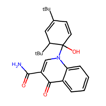 CC(C)(C)C1=CC(C(C)(C)C)C(O)(n2cc(C(N)=O)c(=O)c3ccccc32)C=C1